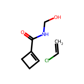 C=CCl.O=C(NCO)C1=CCC1